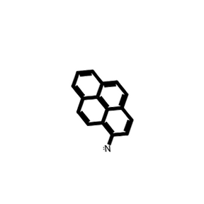 [N]c1ccc2ccc3cccc4ccc1c2c34